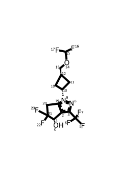 O[C@H]1c2c(C(F)(F)F)nn([C@H]3C[C@H](COC(F)F)C3)c2CC1(F)F